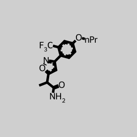 CCCOc1ccc(-c2cc(C(C)C(N)=O)on2)c(C(F)(F)F)c1